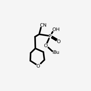 CCC(C)OP(=O)(O)C(C#N)CC1CCOCC1